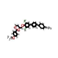 CCCC1CCC(c2ccc(-c3cc(F)c(OCC4CCOC(c5ccc(OC(F)(F)F)cc5)O4)c(F)c3)cc2)CC1